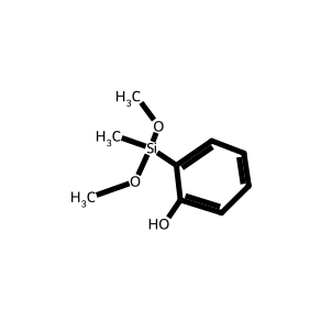 CO[Si](C)(OC)c1ccccc1O